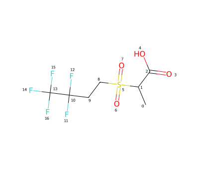 CC(C(=O)O)S(=O)(=O)CCC(F)(F)C(F)(F)F